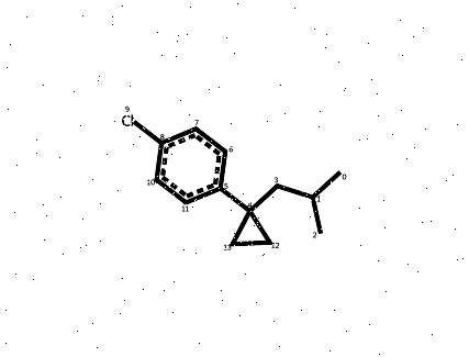 CC(C)CC1(c2ccc(Cl)cc2)CC1